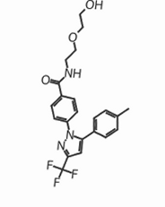 Cc1ccc(-c2cc(C(F)(F)F)nn2-c2ccc(C(=O)NCCOCCO)cc2)cc1